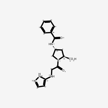 O=C(N[C@@H]1C[C@@H](C(=O)O)N(C(=O)CNc2ccn[nH]2)C1)c1ccccc1